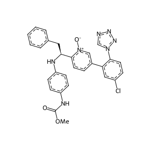 COC(=O)Nc1ccc(N[C@@H](Cc2ccccc2)c2ccc(-c3cc(Cl)ccc3-n3cnnn3)c[n+]2[O-])cc1